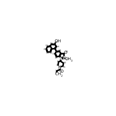 C=CC(=O)N1CCC(n2c3ccc(-c4cc(O)cc5ccccc45)cc3c(=O)n2C)CC1